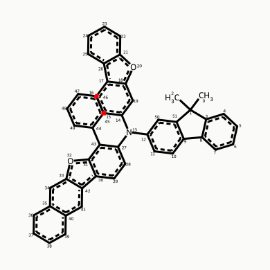 CC1(C)c2ccccc2-c2ccc(N(c3ccc4c(c3)oc3ccccc34)c3ccc4c(oc5cc6ccccc6cc54)c3-c3ccccc3)cc21